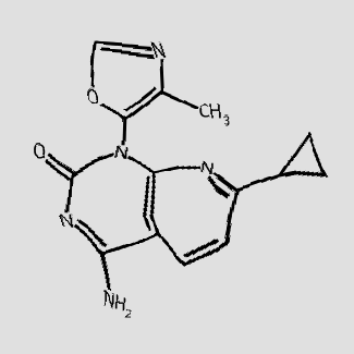 Cc1ncoc1-n1c(=O)nc(N)c2ccc(C3CC3)nc21